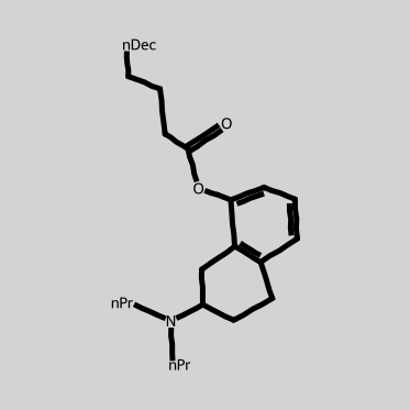 CCCCCCCCCCCCCC(=O)Oc1cccc2c1CC(N(CCC)CCC)CC2